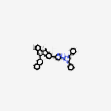 CC1(C)C2=c3ccccc3=CC(C3C=c4ccccc4=CC3)C2c2ccc(-c3ccc(C4N=C(c5ccccc5)C=C(c5ccccc5)N4)cc3)cc21